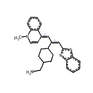 CN1C=C/C(=C\C(=C\c2nc3ccccc3s2)C2CCC(CN)CC2)c2ccccc21